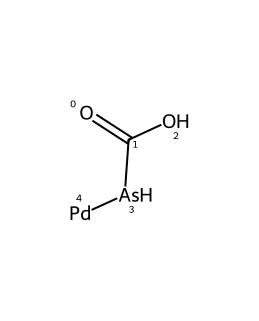 O=C(O)[AsH][Pd]